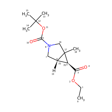 CCOC(=O)[C@H]1[C@@H]2CN(C(=O)OC(C)(C)C)CC21C